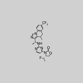 CC1Cc2cc(C(F)(F)F)ccc2-n2cnc([C@H](C)Nc3nccc(N4C(=O)OC[C@@H]4C(C)F)n3)c21